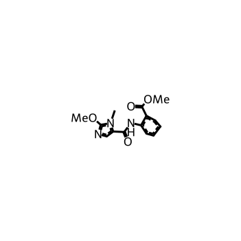 COC(=O)c1ccccc1NC(=O)c1cnc(OC)n1C